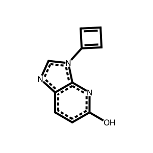 Oc1ccc2ncn(C3=CC=C3)c2n1